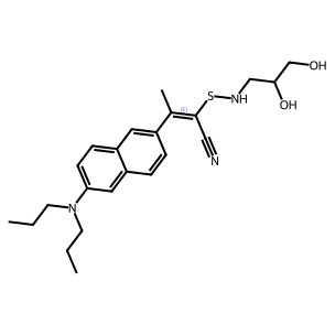 CCCN(CCC)c1ccc2cc(/C(C)=C(\C#N)SNCC(O)CO)ccc2c1